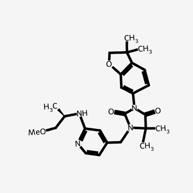 COC[C@@H](C)Nc1cc(CN2C(=O)N(c3ccc4c(c3)OCC4(C)C)C(=O)C2(C)C)ccn1